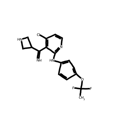 CC(F)(F)Oc1ccc(Nc2nccc(Cl)c2C(=N)C2CNC2)cc1